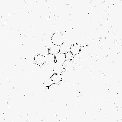 Cc1cc(Cl)ccc1OCc1nc2cc(F)ccc2n1C(C(=O)NC1CCCCC1)C1CCCCCC1